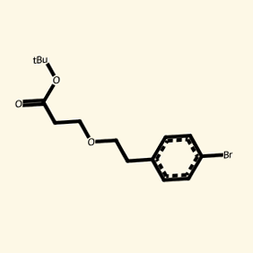 CC(C)(C)OC(=O)CCOCCc1ccc(Br)cc1